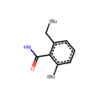 CC(C)(C)Cc1cccc(C(C)(C)C)c1C([NH])=O